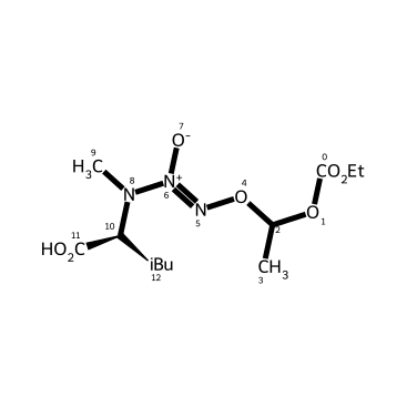 CCOC(=O)OC(C)ON=[N+]([O-])N(C)[C@H](C(=O)O)[C@H](C)CC